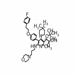 Cc1nc(NCCCN2CCOCC2)c(-c2ccc(OCCc3ccc(F)cc3)cc2)c(N2CCC(C)(C)CC2)c1[C@H](OC(C)(C)C)C(=O)O